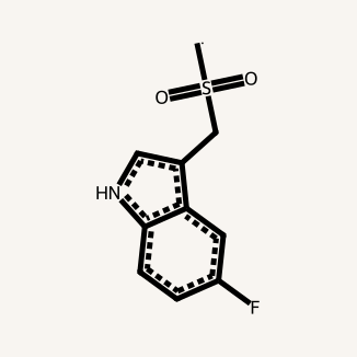 [CH2]S(=O)(=O)Cc1c[nH]c2ccc(F)cc12